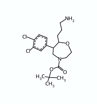 CC(C)(C)OC(=O)N1CCOC(CCCN)C(c2ccc(Cl)c(Cl)c2)C1